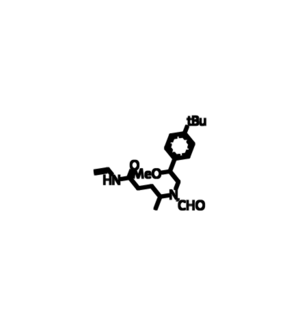 C=CNC(=O)CCC(C)N(C=O)CC(OC)c1ccc(C(C)(C)C)cc1